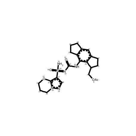 CC(=O)OCC1CCc2cc3c(c(NC(=O)N=S(N)(=O)c4cnn5c4OCCC5)c21)CCC3